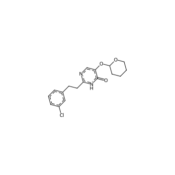 O=c1[nH]c(CCc2cccc(Cl)c2)ncc1OC1CCCCO1